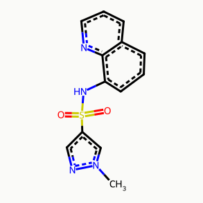 Cn1cc(S(=O)(=O)Nc2cccc3cccnc23)cn1